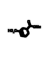 COC(=O)C1CC2C=C(C(=O)O)C1CC2